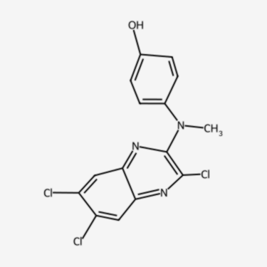 CN(c1ccc(O)cc1)c1nc2cc(Cl)c(Cl)cc2nc1Cl